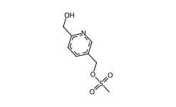 CS(=O)(=O)OCc1ccc(CO)nc1